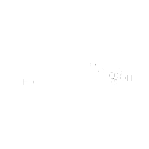 CCCCCCCCCCCCC1OCCC(COS(=O)(=O)O)O1